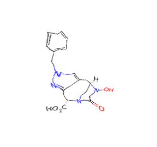 O=C(O)[C@@H]1c2nn(Cc3ccccc3)cc2[C@@H]2CN1C(=O)N2O